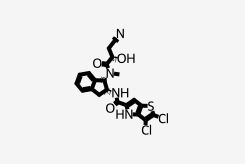 CN(C(=O)[C@@H](O)CC#N)[C@H]1c2ccccc2C[C@H]1NC(=O)c1cc2sc(Cl)c(Cl)c2[nH]1